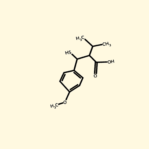 COc1ccc(C(S)C(C(=O)O)C(C)C)cc1